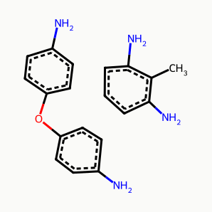 Cc1c(N)cccc1N.Nc1ccc(Oc2ccc(N)cc2)cc1